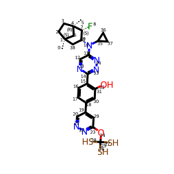 C[C@]12CC[C@](C)(C1)[C@H](F)[C@H](N(c1cnc(-c3ccc(-c4cnnc(OC(S)(S)S)c4)cc3O)nn1)C1CC1)C2